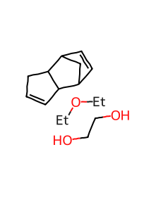 C1=CC2C3C=CC(C3)C2C1.CCOCC.OCCO